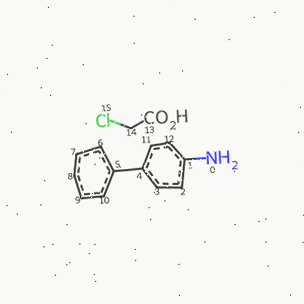 Nc1ccc(-c2ccccc2)cc1.O=C(O)CCl